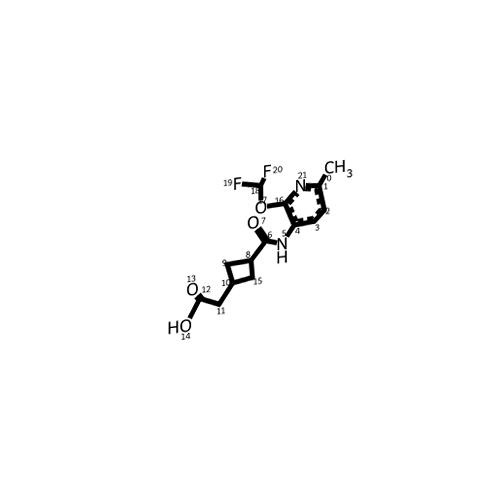 Cc1ccc(NC(=O)C2CC(CC(=O)O)C2)c(OC(F)F)n1